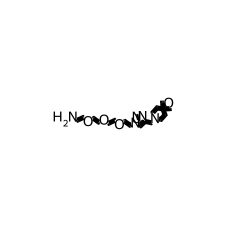 NCCOCCOCCOCCn1cc(CN2CCC3(CC2)COC3)nn1